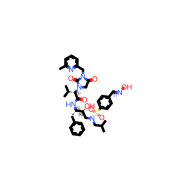 Cc1cccc(CN2C(=O)CN([C@H](C(=O)N[C@@H](Cc3ccccc3)[C@H](O)CN(CC(C)C)S(=O)(=O)c3ccc(/C=N/O)cc3)C(C)C)C2=O)n1